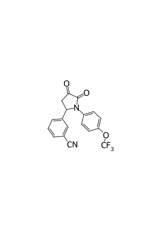 N#Cc1cccc(C2CC(=O)C(=O)N2c2ccc(OC(F)(F)F)cc2)c1